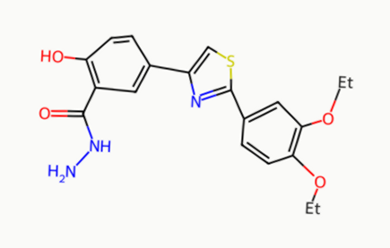 CCOc1ccc(-c2nc(-c3ccc(O)c(C(=O)NN)c3)cs2)cc1OCC